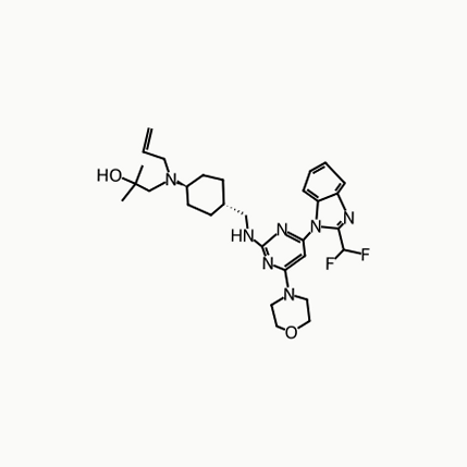 C=CCN(CC(C)(C)O)[C@H]1CC[C@H](CNc2nc(N3CCOCC3)cc(-n3c(C(F)F)nc4ccccc43)n2)CC1